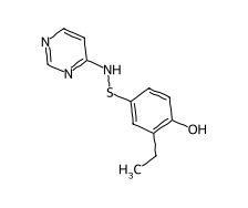 CCc1cc(SNc2ccncn2)ccc1O